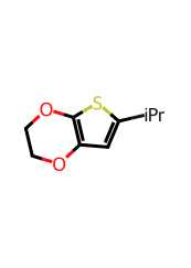 CC(C)c1cc2c(s1)OCCO2